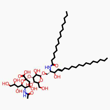 CCCCCCCCCCCCC/C=C/[C@@H](O)[C@H](CO[C@@H]1OC(CO)[C@H](O)[C@H](O[C@]2(C(=O)O)CC(O)[C@@H](NC(C)=O)C([C@H](O)[C@H](O)CO)O2)C1O)NC(=O)CCCCCCCCCCCCCCC